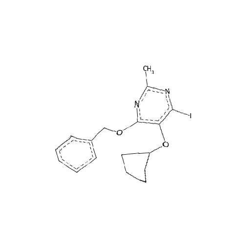 Cc1nc(I)c(OC2CCC2)c(OCc2ccccc2)n1